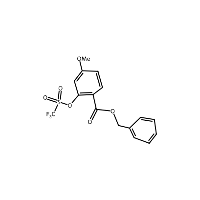 COc1ccc(C(=O)OCc2ccccc2)c(OS(=O)(=O)C(F)(F)F)c1